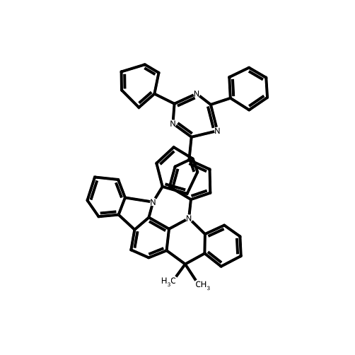 CC1(C)c2ccccc2N(c2ccc(-c3nc(-c4ccccc4)nc(-c4ccccc4)n3)cc2)c2c1ccc1c3ccccc3n(-c3ccccc3)c21